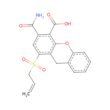 C=CCS(=O)(=O)c1cc(C(N)=O)c(C(=O)O)c2c1Cc1ccccc1O2